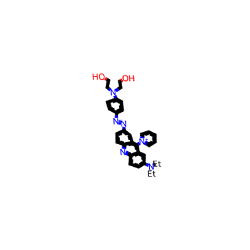 CCN(CC)c1ccc2nc3ccc(/N=N/c4ccc(N(CCO)CCO)cc4)cc3c(-[n+]3ccccc3)c2c1